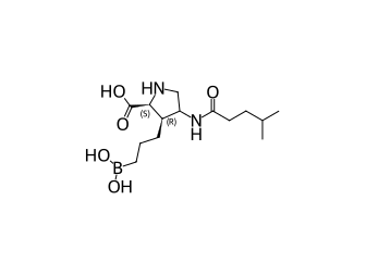 CC(C)CCC(=O)NC1CN[C@H](C(=O)O)[C@@H]1CCCB(O)O